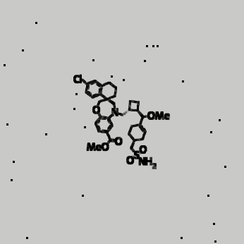 COC(=O)c1ccc2c(c1)N(C[C@@H]1CC[C@H]1C(OC)C1=CC[C@@H](CS(N)(=O)=O)CC1)C[C@@]1(CCCc3cc(Cl)ccc31)CO2